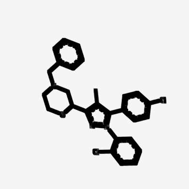 Cc1c(C2CN(Cc3ccccc3)CCO2)nn(-c2ccccc2Cl)c1-c1ccc(Cl)cc1